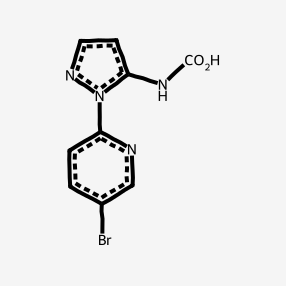 O=C(O)Nc1ccnn1-c1ccc(Br)cn1